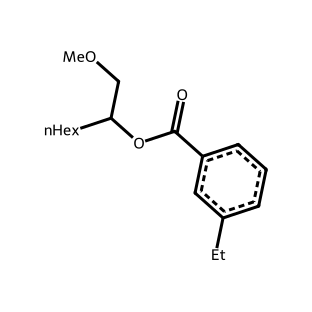 CCCCCCC(COC)OC(=O)c1cccc(CC)c1